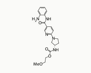 COCCOC(=O)N[C@H]1CCN(c2ccc(C(=O)Nc3ccccc3N)cn2)C1